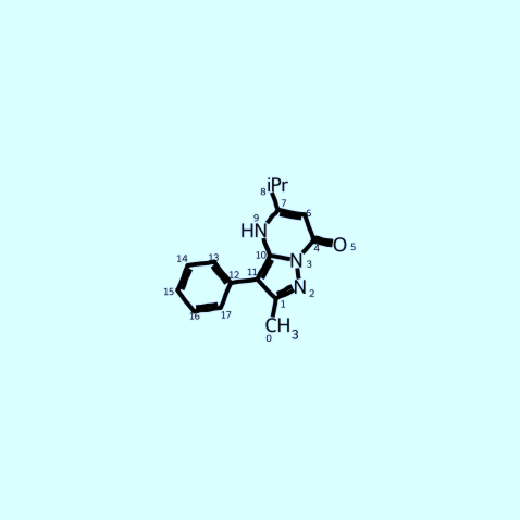 Cc1nn2c(=O)cc(C(C)C)[nH]c2c1-c1ccccc1